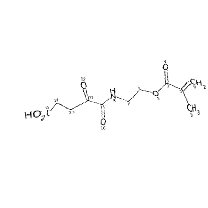 C=C(C)C(=O)OCCNC(=O)C(=O)CCC(=O)O